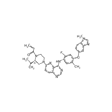 C=CC(=O)N1CCN(c2ccc3ncnc(Nc4cc(C)c(Oc5ccc6c(c5)ncn6C)cc4F)c3n2)C[C@H]1C(C)C